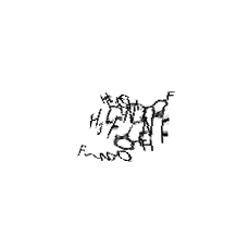 C[C@@H]1Cc2c([nH]c3c(F)cc(F)cc23)[C@@H](c2c(F)cc(OC3CN(CCCF)C3)cc2F)N1CC(C)(C)F